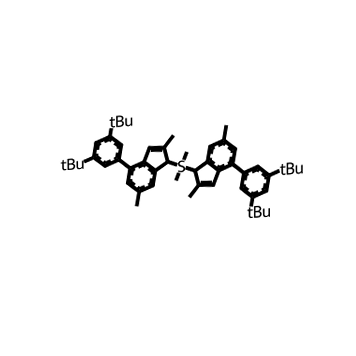 CC1=Cc2c(-c3cc(C(C)(C)C)cc(C(C)(C)C)c3)cc(C)cc2C1S(C)(C)C1C(C)=Cc2c(-c3cc(C(C)(C)C)cc(C(C)(C)C)c3)cc(C)cc21